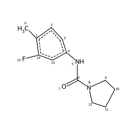 Cc1ccc(NC(=O)N2CCCC2)cc1F